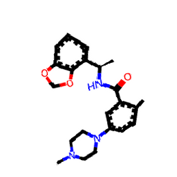 Cc1ccc(N2CCN(C)CC2)cc1C(=O)N[C@H](C)c1cccc2c1OCO2